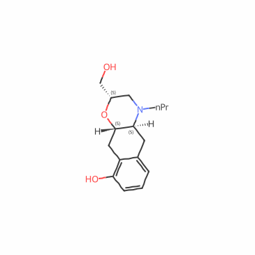 CCCN1C[C@@H](CO)O[C@H]2Cc3c(O)cccc3C[C@@H]21